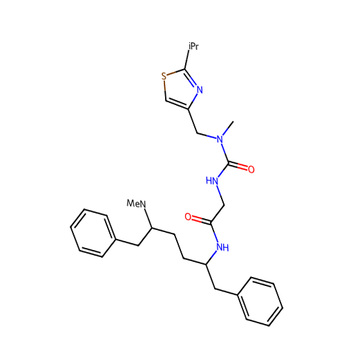 CNC(CCC(Cc1ccccc1)NC(=O)CNC(=O)N(C)Cc1csc(C(C)C)n1)Cc1ccccc1